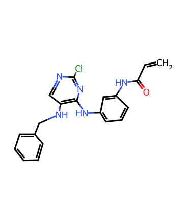 C=CC(=O)Nc1cccc(Nc2nc(Cl)ncc2NCc2ccccc2)c1